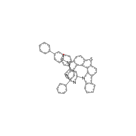 c1ccc(-c2ccc(-n3c4ccccc4c4c5c(ccc43)sc3ccc4c6ccccc6n(-c6cc(-c7ccccc7)nc(-c7ccccc7)n6)c4c35)cc2)cc1